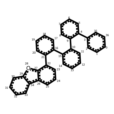 c1ccc(-c2ccccc2-c2ccccc2-c2ccccc2-c2cccc3c2oc2ccccc23)cc1